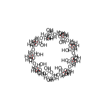 OC[C@H]1O[C@@H]2O[C@H]3[C@H](O)[C@@H](O)[C@@H](O[C@H]4[C@H](O)[C@@H](O)[C@@H](O[C@H]5[C@H](O)[C@@H](O)[C@@H](O[C@H]6[C@H](O)[C@@H](O)[C@@H](O[C@H]7[C@H](O)[C@@H](O)[C@@H](O[C@H]8[C@H](O)[C@@H](O)[C@@H](O[C@H]9[C@H](O)[C@@H](O)[C@@H](O[C@H]%10[C@H](O)[C@@H](O)[C@@H](O[C@H]1[C@H](O)[C@H]2O)O[C@@H]%10CO)O[C@@H]9CO)O[C@@H]8CO)O[C@@H]7CO)O[C@@H]6CO)O[C@@H]5CO)O[C@@H]4CO)O[C@@H]3CO